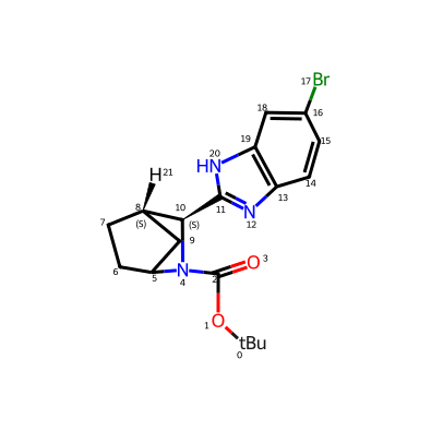 CC(C)(C)OC(=O)N1C2CC[C@@H](C2)[C@H]1c1nc2ccc(Br)cc2[nH]1